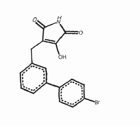 O=C1NC(=O)C(Cc2cccc(-c3ccc(Br)cc3)c2)=C1O